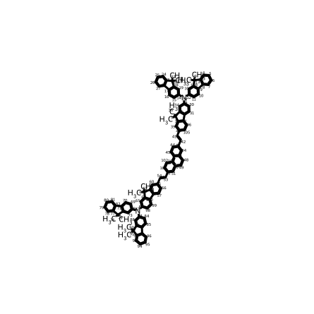 CC1(C)c2ccccc2-c2ccc(N(c3ccc4c(c3)C(C)(C)c3ccccc3-4)c3ccc4c(c3)C(C)(C)c3cc(/C=C/c5ccc6c(ccc7cc(/C=C/c8ccc9c(c8)C(C)(C)c8cc(N(c%10ccc%11c(c%10)C(C)(C)c%10ccccc%10-%11)c%10ccc%11c(c%10)C(C)(C)c%10ccccc%10-%11)ccc8-9)ccc76)c5)ccc3-4)cc21